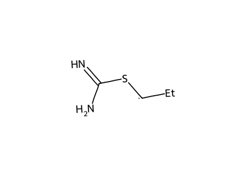 CC[CH]SC(=N)N